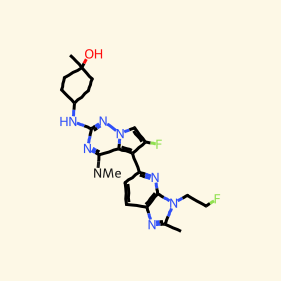 CNc1nc(NC2CCC(C)(O)CC2)nn2cc(F)c(-c3ccc4nc(C)n(CCF)c4n3)c12